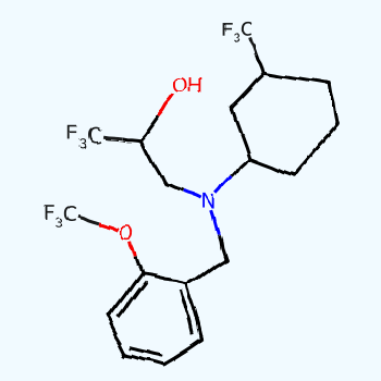 OC(CN(Cc1ccccc1OC(F)(F)F)C1CCCC(C(F)(F)F)C1)C(F)(F)F